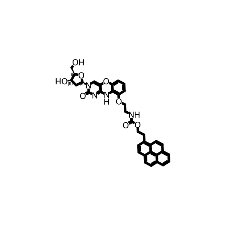 O=C(NCCOc1cccc2c1Nc1nc(=O)n([C@H]3C[C@@H](O)[C@@H](CO)O3)cc1O2)OCCc1ccc2ccc3cccc4ccc1c2c34